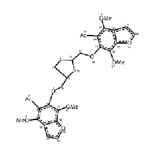 COc1c(C(C)=O)c(OCC2CCC(COc3c(C(C)=O)c(OC)c4ccoc4c3OC)S2)c(OC)c2occc12